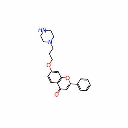 O=c1cc(-c2ccccc2)oc2cc(OCCCN3CCNCC3)ccc12